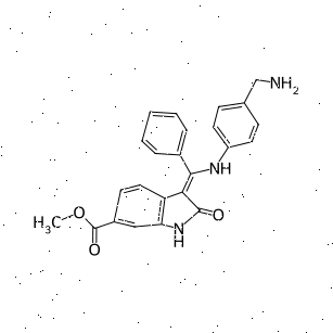 COC(=O)c1ccc2c(c1)NC(=O)/C2=C(\Nc1ccc(CN)cc1)c1ccccc1